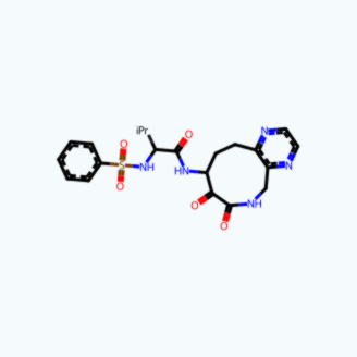 CC(C)C(NS(=O)(=O)c1ccccc1)C(=O)NC1CCc2nccnc2CNC(=O)C1=O